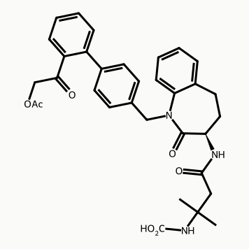 CC(=O)OCC(=O)c1ccccc1-c1ccc(CN2C(=O)[C@H](NC(=O)CC(C)(C)NC(=O)O)CCc3ccccc32)cc1